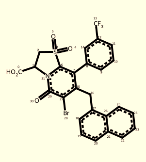 O=C(O)C1CS(=O)(=O)c2c(-c3cccc(C(F)(F)F)c3)c(Cc3cccc4ccccc34)c(Br)c(=O)n21